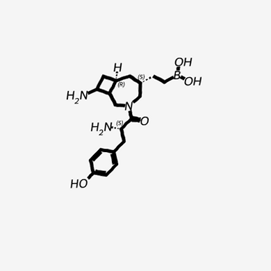 NC1C[C@H]2C[C@H](CCB(O)O)CN(C(=O)[C@@H](N)Cc3ccc(O)cc3)CC12